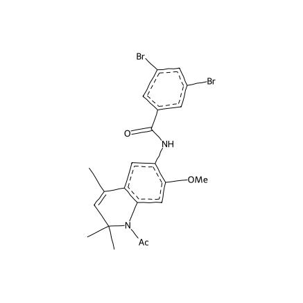 COc1cc2c(cc1NC(=O)c1cc(Br)cc(Br)c1)C(C)=CC(C)(C)N2C(C)=O